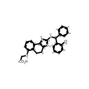 O=C(O)COc1cccc2c1CCc1sc(SC(c3ccccc3)c3ccccc3Cl)nc1-2